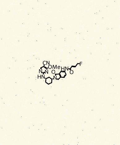 COc1nc(N[C@@H]2CCC[C@H](N3Cc4ccc(NC(=O)C=CCF)cc4C3=O)C2)ncc1C#N